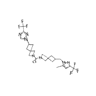 Cc1cc(C(F)(F)F)nn1CC1CC2(C1)CN(C(=O)N1CC3(CC(n4cnc(C(F)(F)F)n4)C3)C1)C2